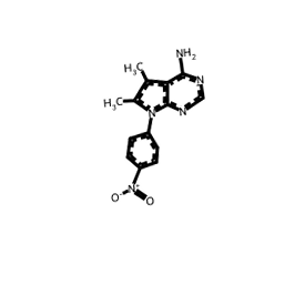 Cc1c(C)n(-c2ccc([N+](=O)[O-])cc2)c2ncnc(N)c12